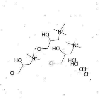 C[N+](C)(C)CC(O)CCl.C[N+](C)(C)CC(O)CCl.C[N+](C)(C)CC(O)CCl.Cl.Cl.[Cl-].[Cl-].[Cl-]